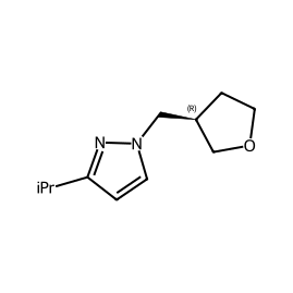 CC(C)c1ccn(C[C@H]2CCOC2)n1